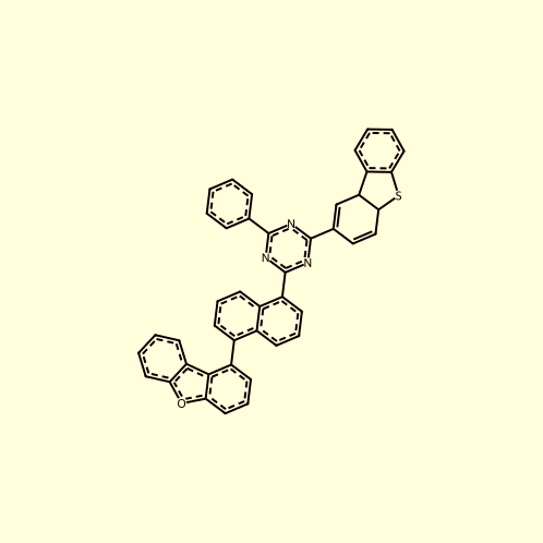 C1=CC2Sc3ccccc3C2C=C1c1nc(-c2ccccc2)nc(-c2cccc3c(-c4cccc5oc6ccccc6c45)cccc23)n1